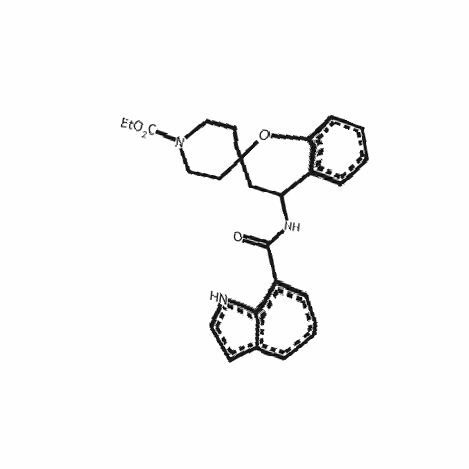 CCOC(=O)N1CCC2(CC1)CC(NC(=O)c1cccc3cc[nH]c13)c1ccccc1O2